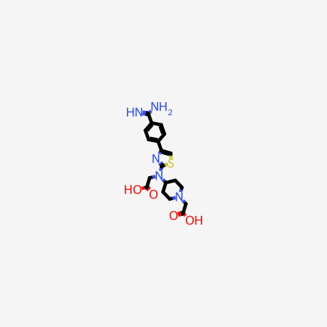 N=C(N)c1ccc(-c2csc(N(CC(=O)O)C3CCN(CC(=O)O)CC3)n2)cc1